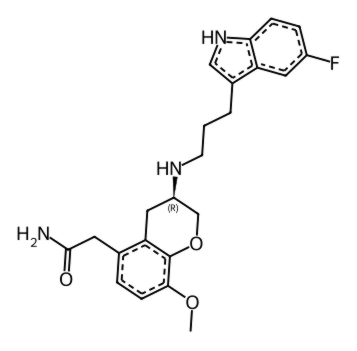 COc1ccc(CC(N)=O)c2c1OC[C@H](NCCCc1c[nH]c3ccc(F)cc13)C2